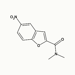 CN(C)C(=O)c1cc2cc([N+](=O)[O-])ccc2o1